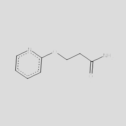 NC(=O)CCOc1ccccn1